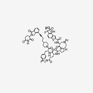 CC(=O)N1CC[C@H]2CC[C@@H](C(=O)N[C@@H](CCC(N)=O)C(=O)N[C@@H](Cc3ccc(F)cc3)C(=O)N3CCC(CCC#Cc4cccc5c4CN(C4CCC(=O)NC4=O)C5=O)CC3)N2C(=O)[C@@H](NC(=O)c2cc3cc(C(F)(F)P(=O)(O)O)ccc3s2)C1